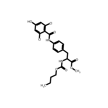 CCCCOC(=O)NC(Cc1ccc(NC(=O)c2c(Cl)cc(O)cc2Cl)cc1)C(=O)OC